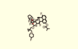 C#Cc1c(F)ccc2cc(OC(=O)C(C)C)cc(-c3ncc4c(N5CC6CCC(C5)N6C(=O)C(F)(F)F)nc(OCC5(CN6CCC(F)CC6)CC5)nc4c3F)c12